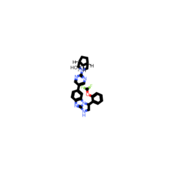 O=C(O)[C@@H]1[C@@H]2CC[C@H]1CN(c1ncc(-c3ccc4nc5n(c4c3)C(c3ccccc3OC(F)F)CN5)cn1)C2